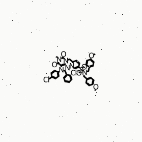 COc1ccc(CN(Cc2ccc(OC)cc2)S(=O)(=O)c2ccc(Cn3c(=O)n(C)c(=O)c4c3nc(-c3ccccc3Cl)n4-c3ccc(Cl)cc3)nc2)cc1